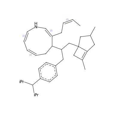 C/C=C\C/C1=C/N/C=C\C=C/CC1C(Cc1ccc(C(C(C)C)C(C)C)cc1)CC12CC(C)=C1CC(C)C2